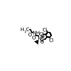 CCC(=O)NC(=O)CN(C1CC1)S(=O)(=O)Cc1c(Cl)ccc(Cl)c1Cl